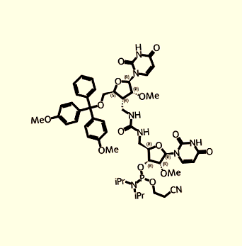 COc1ccc(C(OC[C@H]2O[C@@H](n3ccc(=O)[nH]c3=O)[C@H](OC)[C@@H]2CNC(=O)NC[C@H]2O[C@@H](n3ccc(=O)[nH]c3=O)[C@H](OC)[C@@H]2OP(OCCC#N)N(C(C)C)C(C)C)(c2ccccc2)c2ccc(OC)cc2)cc1